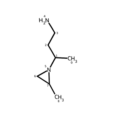 CC(CCN)N1CC1C